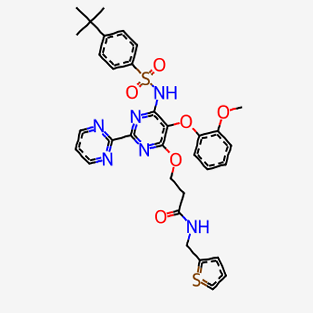 COc1ccccc1Oc1c(NS(=O)(=O)c2ccc(C(C)(C)C)cc2)nc(-c2ncccn2)nc1OCCC(=O)NCc1cccs1